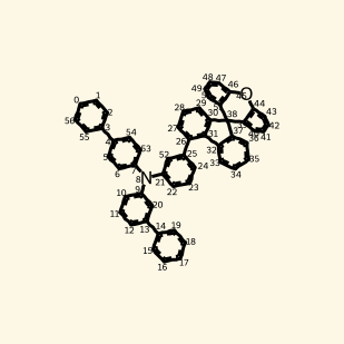 c1ccc(-c2ccc(N(c3cccc(-c4ccccc4)c3)c3cccc(-c4cccc5c4-c4ccccc4C54c5ccccc5Oc5ccccc54)c3)cc2)cc1